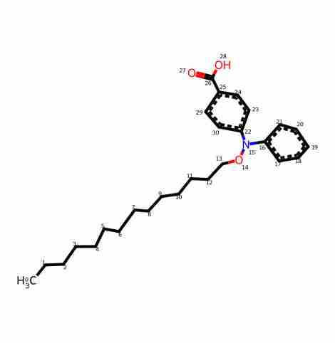 CCCCCCCCCCCCCCON(c1ccccc1)c1ccc(C(=O)O)cc1